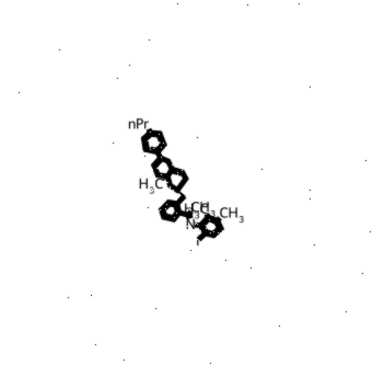 CCCc1ccc(C2=CC[C@]3(C)C[C@H](Cc4ccccc4/C(C)=N/c4c(I)ccc(C)c4C)CC=C3C2)cc1